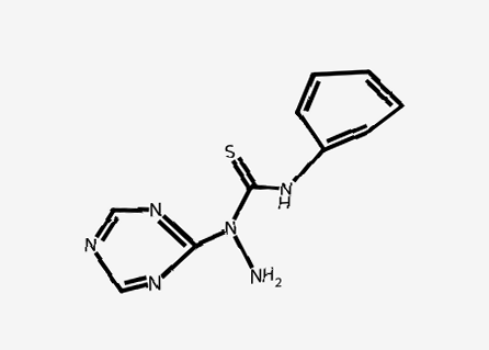 NN(C(=S)Nc1ccccc1)c1ncncn1